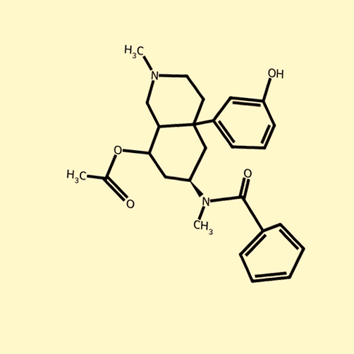 CC(=O)OC1C[C@H](N(C)C(=O)c2ccccc2)CC2(c3cccc(O)c3)CCN(C)CC12